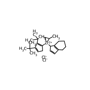 C[CH]1[CH2][Zr+2]1([C]1=C(C(C)(C)C)C(C(C)(C)C)=CC1)[CH]1C=CC2=C1CCCC2.[Cl-].[Cl-]